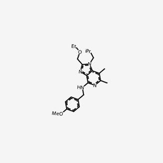 CCOCc1nc2c(NCc3ccc(OC)cc3)nc(C)c(C)c2n1CC(C)C